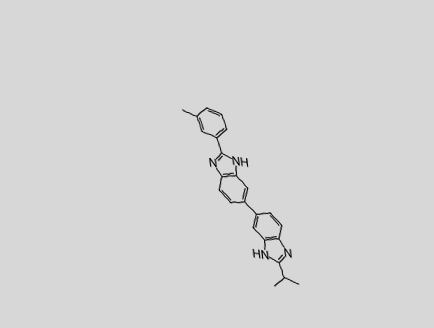 Cc1cccc(-c2nc3ccc(-c4ccc5nc(C(C)C)[nH]c5c4)cc3[nH]2)c1